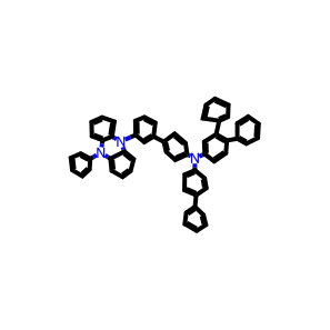 c1ccc(-c2ccc(N(c3ccc(-c4cccc(N5c6ccccc6N(c6ccccc6)c6ccccc65)c4)cc3)c3ccc(-c4ccccc4)c(-c4ccccc4)c3)cc2)cc1